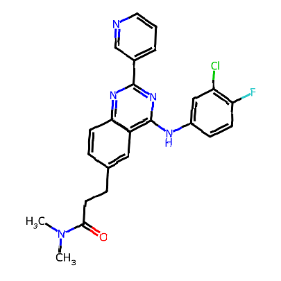 CN(C)C(=O)CCc1ccc2nc(-c3cccnc3)nc(Nc3ccc(F)c(Cl)c3)c2c1